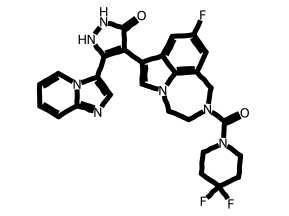 O=C(N1CCC(F)(F)CC1)N1CCn2cc(-c3c(-c4cnc5ccccn45)[nH][nH]c3=O)c3cc(F)cc(c32)C1